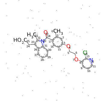 Cc1cc(OCCOc2cccnc2Cl)ccc1C(=O)n1c(C)c(CC(=O)O)c2ccccc21